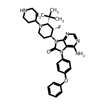 CC(C)(C)[C@@H]1[C@H](F)[C@@H](n2c(=O)n(-c3ccc(Oc4ccccc4)cc3)c3c(N)ncnc32)CCN1C1CCNCC1